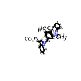 COc1ccccc1N(C)c1cccc(Cn2cc(CC(=O)O)c3ccccc32)c1